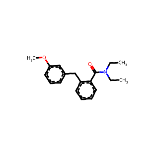 CCN(CC)C(=O)c1ccccc1Cc1cccc(OC)c1